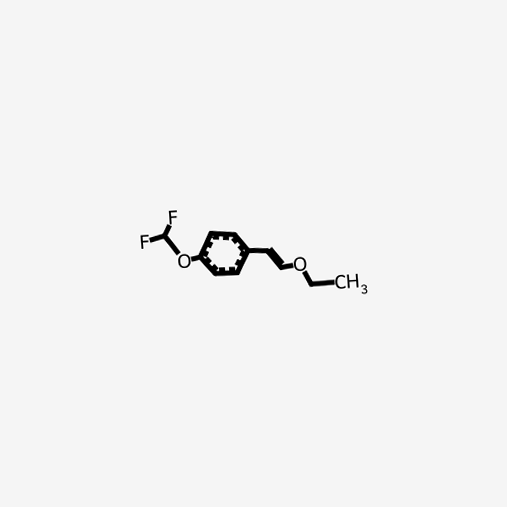 CCOC=Cc1ccc(OC(F)F)cc1